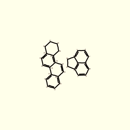 c1cc2c3c(cccc3c1)CC2.c1ccc2c(c1)ccc1c3c(ccc12)CCCC3